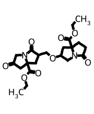 CCOC(=O)C12CCC(=O)N1CC(OCC1CC3(C(=O)OCC)CC(=O)CN3C1=O)C2